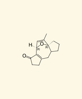 CC1=C[C@H]2O[C@@]13CCCC3CC1=C2C(=O)CC1